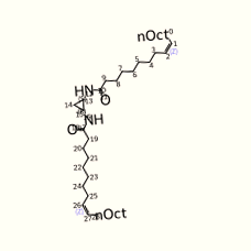 CCCCCCCC/C=C\CCCCCCCC(=O)N[C@H]1C[C@H]1NC(=O)CCCCCCC/C=C\CCCCCCCC